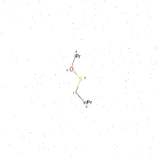 CCCCSOC(C)C